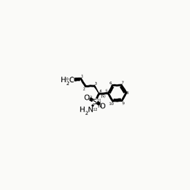 C=CCC[C@@H](c1ccccc1)S(N)(=O)=O